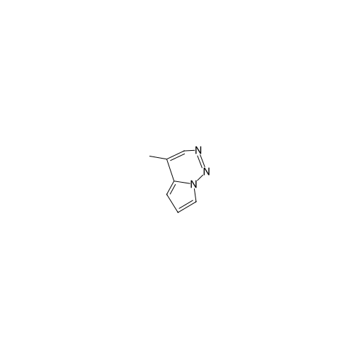 Cc1cnnn2cccc12